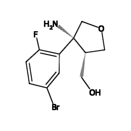 N[C@]1(c2cc(Br)ccc2F)COC[C@@H]1CO